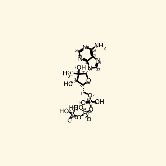 CC1(O)[C@@H](O)[C@@H](COP(=O)(O)OP(=O)(O)OP(=O)(O)O)O[C@H]1n1cnc2c(N)ncnc21